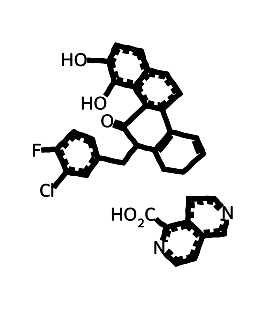 O=C(O)c1nccc2cnccc12.O=C1c2c(ccc3ccc(O)c(O)c23)C2=C(CCC=C2)C1Cc1ccc(F)c(Cl)c1